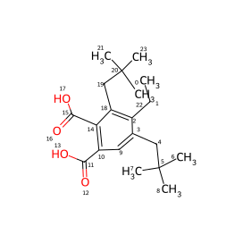 CCc1c(CC(C)(C)C)cc(C(=O)O)c(C(=O)O)c1CC(C)(C)C